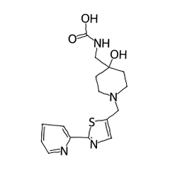 O=C(O)NCC1(O)CCN(Cc2cnc(-c3ccccn3)s2)CC1